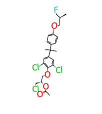 CC(=O)O[C@@H](CCl)COc1c(Cl)cc(C(C)(C)c2ccc(OC[C@H](C)CF)cc2)cc1Cl